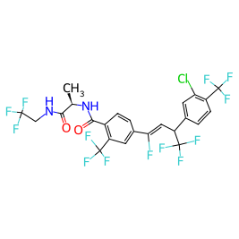 C[C@@H](NC(=O)c1ccc(/C(F)=C/C(c2ccc(C(F)(F)F)c(Cl)c2)C(F)(F)F)cc1C(F)(F)F)C(=O)NCC(F)(F)F